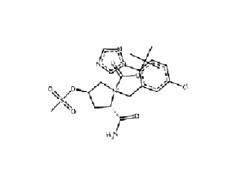 CC(C)(C)OC(=O)[N+]1(Cc2cc(Cl)ccc2-n2cncn2)C[C@H](OS(C)(=O)=O)C[C@H]1C(N)=O